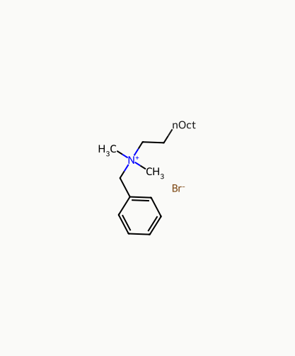 CCCCCCCCCC[N+](C)(C)Cc1ccccc1.[Br-]